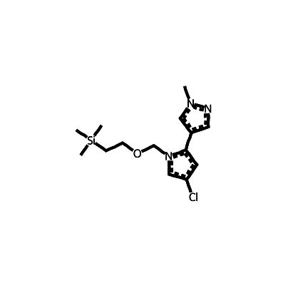 Cn1cc(-c2cc(Cl)cn2COCC[Si](C)(C)C)cn1